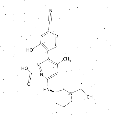 CCN1CCC[C@@H](Nc2cc(C)c(-c3ccc(C#N)cc3O)nn2)C1.O=CO